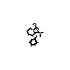 CN(C)C(=O)[C@@]1(Cc2ccccc2)CCCCN1C(=O)O